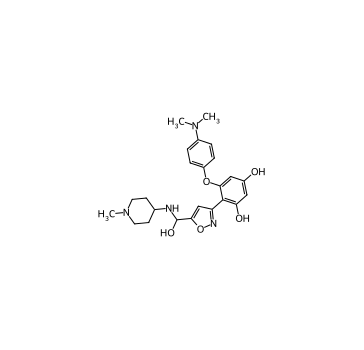 CN1CCC(NC(O)c2cc(-c3c(O)cc(O)cc3Oc3ccc(N(C)C)cc3)no2)CC1